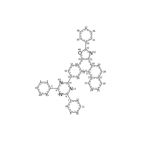 c1ccc(-c2nc(-c3ccccc3)nc(-c3ccc4c(c3)c3c5ccccc5ccc3c3nc(-c5ccccc5)oc43)n2)cc1